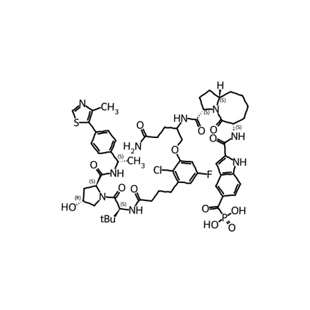 Cc1ncsc1-c1ccc([C@H](C)NC(=O)[C@@H]2C[C@@H](O)CN2C(=O)[C@@H](NC(=O)CCCc2cc(F)cc(OCC(CCC(N)=O)NC(=O)[C@@H]3CC[C@@H]4CCCC[C@H](NC(=O)c5cc6cc(C(=O)P(=O)(O)O)ccc6[nH]5)C(=O)N43)c2Cl)C(C)(C)C)cc1